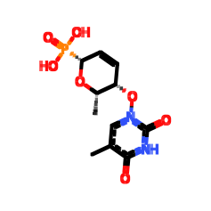 Cc1cn(O[C@H]2C=C[C@@H](P(=O)(O)O)O[C@H]2C)c(=O)[nH]c1=O